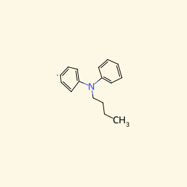 CCCCN(c1cc[c]cc1)c1ccccc1